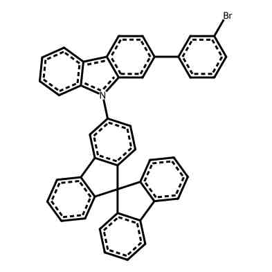 Brc1cccc(-c2ccc3c4ccccc4n(-c4ccc5c(c4)-c4ccccc4C54c5ccccc5-c5ccccc54)c3c2)c1